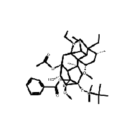 CCN1CC2(CC)C3C(OC)C4C1C3([C@@H](OC)C[C@H]2C)[C@H]1C[C@@]2(O[Si](C)(C)C(C)(C)C)[C@H](OC(=O)c3ccccc3)C1[C@]4(OC(C)=O)[C@@H](O)[C@@H]2OC